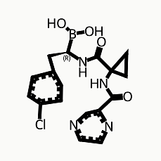 O=C(NC1(C(=O)N[C@@H](Cc2ccc(Cl)cc2)B(O)O)CC1)c1cnccn1